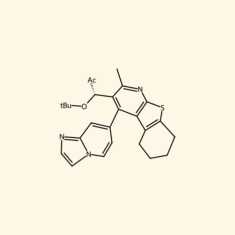 CC(=O)[C@@H](OC(C)(C)C)c1c(C)nc2sc3c(c2c1-c1ccn2ccnc2c1)CCCC3